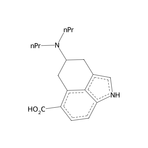 CCCN(CCC)C1Cc2c[nH]c3ccc(C(=O)O)c(c23)C1